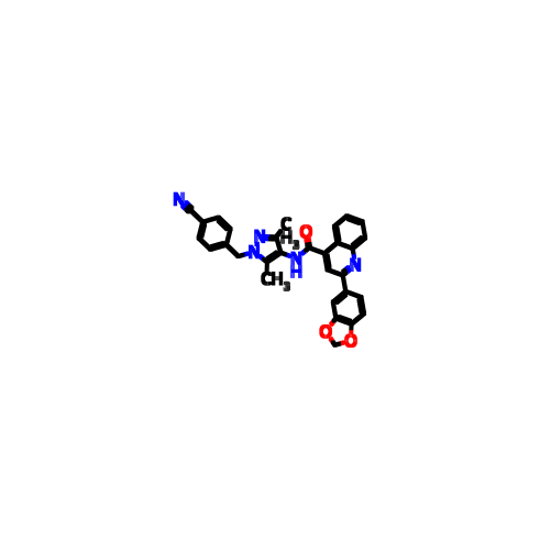 Cc1nn(Cc2ccc(C#N)cc2)c(C)c1NC(=O)c1cc(-c2ccc3c(c2)OCO3)nc2ccccc12